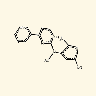 CC(=O)N(c1nccc(-c2cccnc2)n1)c1cc(N=O)ccc1C